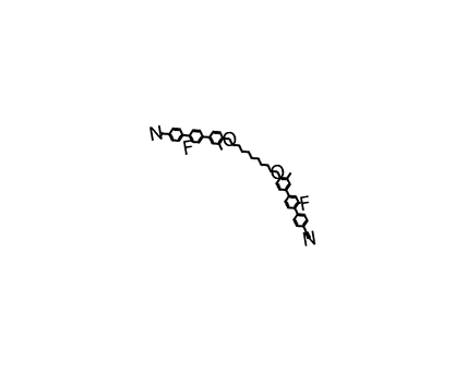 Cc1cc(-c2ccc(-c3ccc(C#N)cc3)c(F)c2)ccc1OCCCCCCCCCOc1ccc(-c2ccc(-c3ccc(C#N)cc3)c(F)c2)cc1C